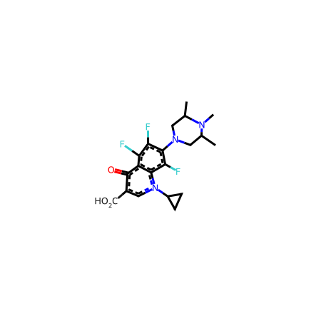 CC1CN(c2c(F)c(F)c3c(=O)c(C(=O)O)cn(C4CC4)c3c2F)CC(C)N1C